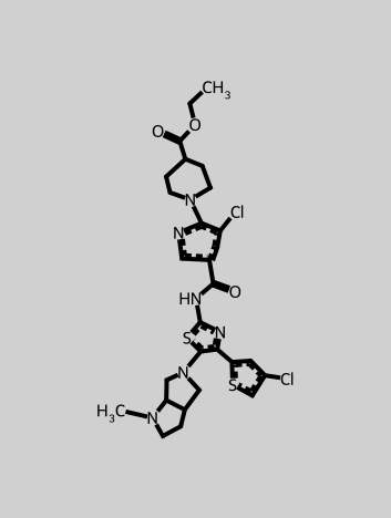 CCOC(=O)C1CCN(c2ncc(C(=O)Nc3nc(-c4cc(Cl)cs4)c(N4CC5CCN(C)C5C4)s3)cc2Cl)CC1